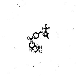 Cc1cc(C(F)(F)F)n(CC2CCN(C(=O)N3CC[C@@H]4OCC(=O)N[C@@H]4C3)CC2)n1